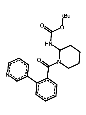 CC(C)(C)OC(=O)NC1CCCCN1C(=O)c1ccccc1-c1[c]nccc1